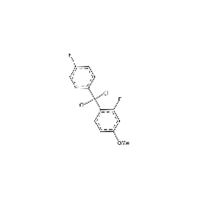 COc1ccc(C(Cl)(Cl)c2ccc(F)cc2)c(F)c1